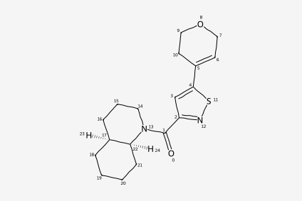 O=C(c1cc(C2=CCOCC2)sn1)N1CCC[C@@H]2CCCC[C@@H]21